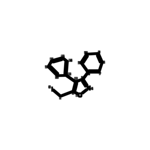 ICc1onc(-c2ccccc2)c1-c1ccccc1